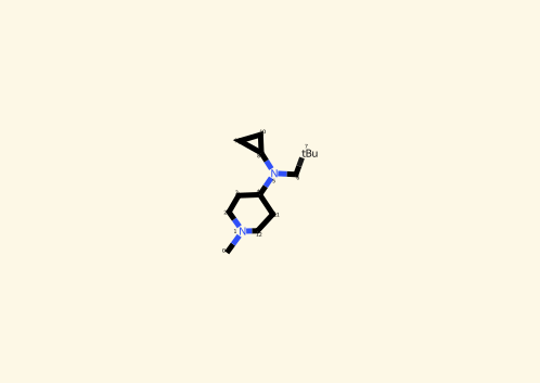 CN1CCC(N(CC(C)(C)C)C2CC2)CC1